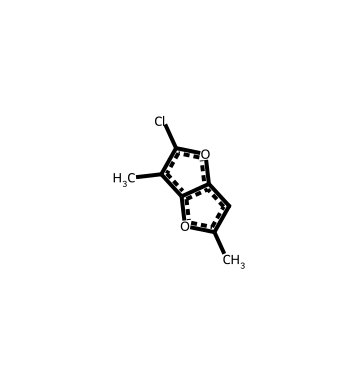 Cc1cc2oc(Cl)c(C)c2o1